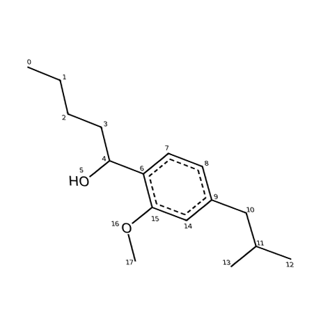 CCCCC(O)c1ccc(CC(C)C)cc1OC